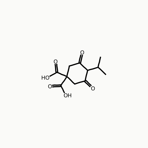 CC(C)C1C(=O)CC(C(=O)O)(C(=O)O)CC1=O